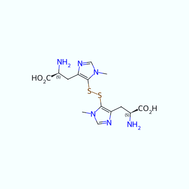 Cn1cnc(C[C@H](N)C(=O)O)c1SSc1c(C[C@H](N)C(=O)O)ncn1C